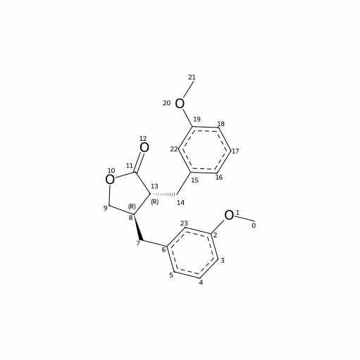 COc1cccc(C[C@H]2COC(=O)[C@@H]2Cc2cccc(OC)c2)c1